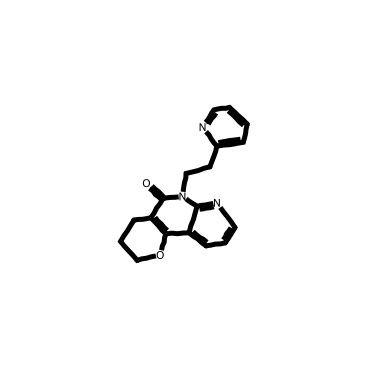 O=c1c2c(c3cccnc3n1CCc1ccccn1)OCCC2